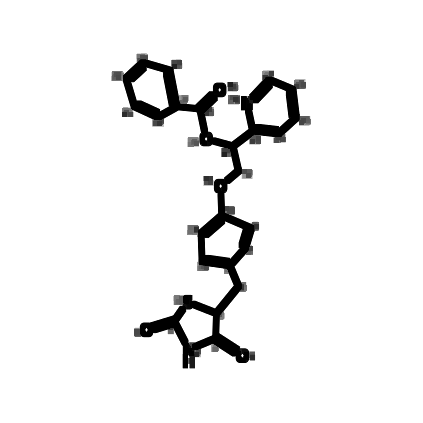 O=C1NC(=O)C(Cc2ccc(OCC(OC(=O)c3ccccc3)c3ccccn3)cc2)S1